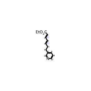 CCOC(=O)/C=C/C=C/CCc1cccnc1